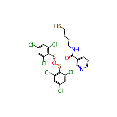 Clc1cc(Cl)c(SOSc2c(Cl)cc(Cl)cc2Cl)c(Cl)c1.O=C(NCCCCS)c1cccnc1